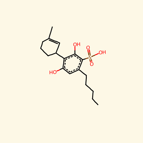 CCCCCc1cc(O)c(C2C=C(C)CCC2)c(O)c1S(=O)(=O)O